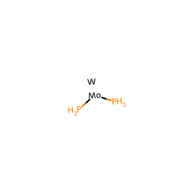 [PH2][Mo][PH2].[W]